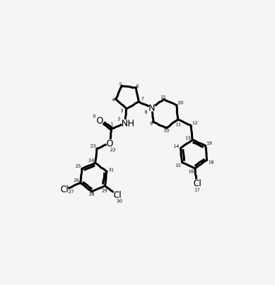 O=C(NC1CCCC1N1CCC(Cc2ccc(Cl)cc2)CC1)OCc1cc(Cl)cc(Cl)c1